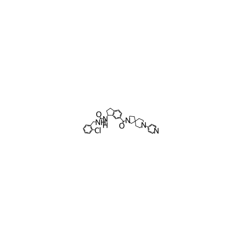 O=C(NCc1ccccc1Cl)NC1CCc2ccc(C(=O)N3CCC4(CCN(c5ccncc5)CC4)C3)cc21